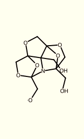 [O]CC12OCC3(OCC45OCC(CO)(O4)N1C53CO)O2